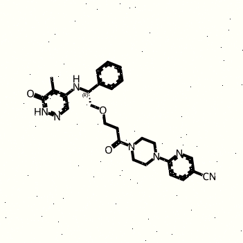 Cc1c(N[C@@H](COCCC(=O)N2CCN(c3ccc(C#N)cn3)CC2)c2ccccc2)cn[nH]c1=O